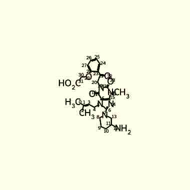 CC(C)=CCn1c(N2CCCC(N)C2)nc2c1c(=O)n(CC(=O)c1ccccc1OCC(=O)O)c(=O)n2C